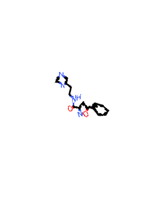 O=C(NCCc1cnccn1)c1cc(-c2ccccc2)on1